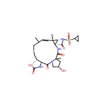 CC1C=C[C@@H]2C[C@@]2(C(=O)NS(=O)(=O)C2CC2)NC(=O)[C@@H]2C[C@@H](O)CN2C(=O)[C@@H](NC(=O)O)[C@H](C)CCC1